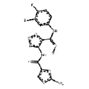 Nc1nc(C(=O)Nc2nonc2/C(=N\O)Nc2ccc(F)c(Br)c2)cs1